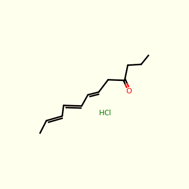 CC=CC=CC=CCC(=O)CCC.Cl